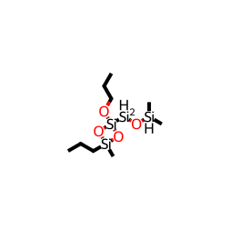 CCCO[Si]1([SiH2]O[SiH](C)C)O[Si](C)(CCC)O1